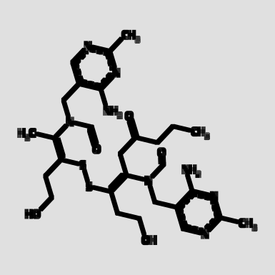 CCCC(=O)CC(=C(CCO)SSC(CCO)=C(C)N(C=O)Cc1cnc(C)nc1N)N(C=O)Cc1cnc(C)nc1N